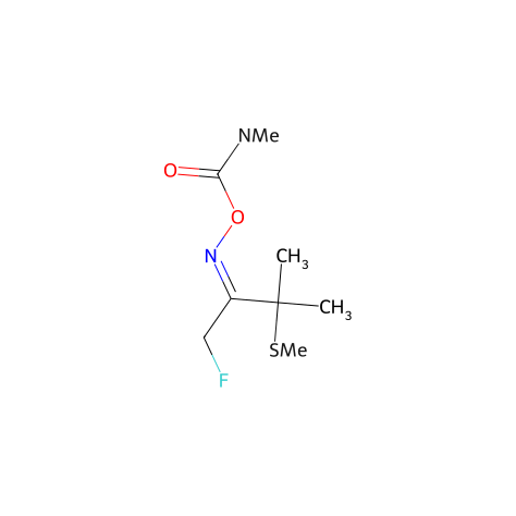 CNC(=O)ON=C(CF)C(C)(C)SC